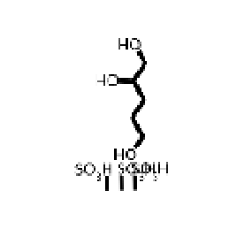 CS(=O)(=O)O.CS(=O)(=O)O.CS(=O)(=O)O.OCCCC(O)CO